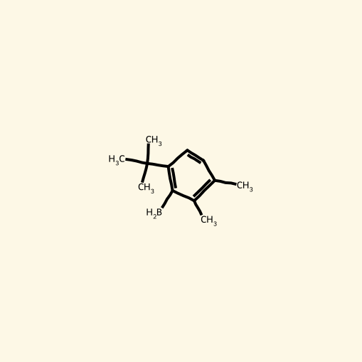 Bc1c(C(C)(C)C)ccc(C)c1C